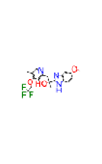 COc1ccc2[nH]c(C(C)(O)Cc3ncc(C)c(OCC(F)(F)F)c3C)nc2c1